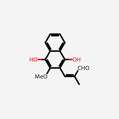 COc1c(/C=C(/C)C=O)c(O)c2ccccc2c1O